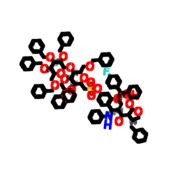 O=C1OC[C@H](Cc2ccccc2)C1C(=O)[C@H](CC[C@H](O)c1ccc(F)cc1)[C@H](Nc1ccccc1)c1ccc(OS(=O)(=O)CC2OC(COCc3ccccc3)[C@@H](OC3OC(COCc4ccccc4)[C@@H](OCc4ccccc4)[C@@H](OCc4ccccc4)[C@@H]3OCc3ccccc3)[C@@H](OCc3ccccc3)[C@@H]2OCc2ccccc2)cc1OCc1ccccc1